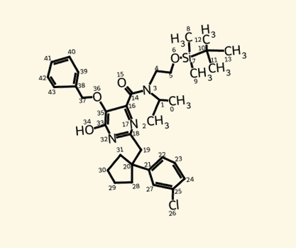 CC(C)N(CCO[Si](C)(C)C(C)(C)C)C(=O)c1nc(CC2(c3cccc(Cl)c3)CCCC2)nc(O)c1OCc1ccccc1